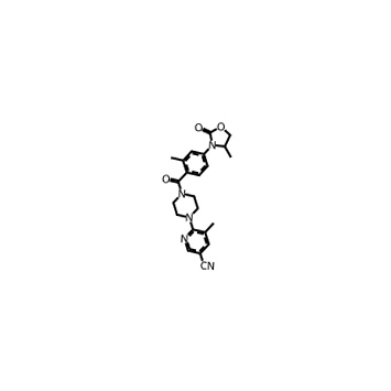 Cc1cc(N2C(=O)OCC2C)ccc1C(=O)N1CCN(c2ncc(C#N)cc2C)CC1